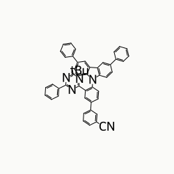 CC(C)(C)c1nc(-c2ccccc2)nc(-c2cc(-c3cccc(C#N)c3)ccc2-n2c3ccc(-c4ccccc4)cc3c3cc(-c4ccccc4)ccc32)n1